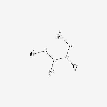 [CH2]C(C)CC(CC)C(CC)CC(C)C